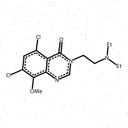 CCN(CC)CCn1cnc2c(OC)c(Cl)cc(Cl)c2c1=O